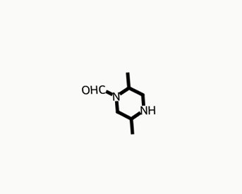 CC1CN(C=O)C(C)CN1